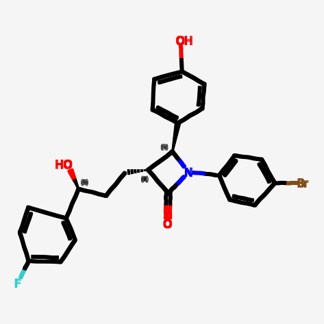 O=C1[C@H](CC[C@H](O)c2ccc(F)cc2)[C@@H](c2ccc(O)cc2)N1c1ccc(Br)cc1